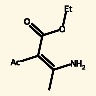 CCOC(=O)C(C(C)=O)=C(C)N